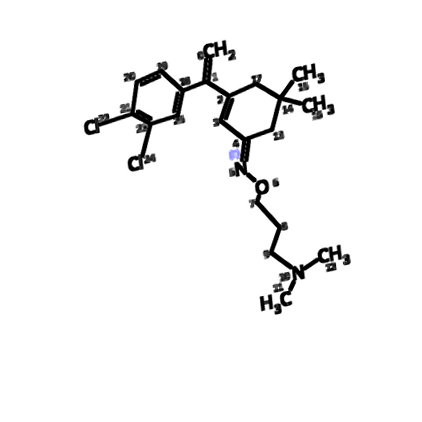 C=C(C1=C/C(=N/OCCCN(C)C)CC(C)(C)C1)c1ccc(Cl)c(Cl)c1